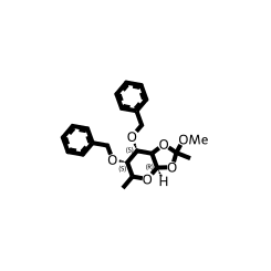 COC1(C)OC2[C@H](OC(C)[C@H](OCc3ccccc3)[C@@H]2OCc2ccccc2)O1